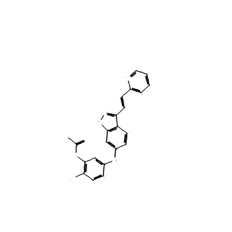 CC(=O)Nc1cc(Nc2ccc3c(/C=C/c4ccccn4)n[nH]c3c2)ccc1F